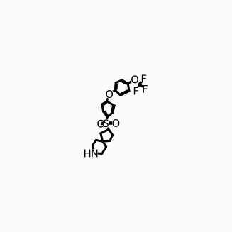 O=S(=O)(c1ccc(Oc2ccc(OC(F)(F)F)cc2)cc1)C1CCC2(CCNCC2)C1